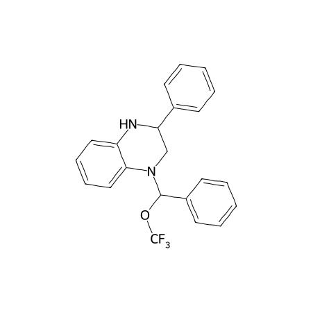 FC(F)(F)OC(c1ccccc1)N1CC(c2ccccc2)Nc2ccccc21